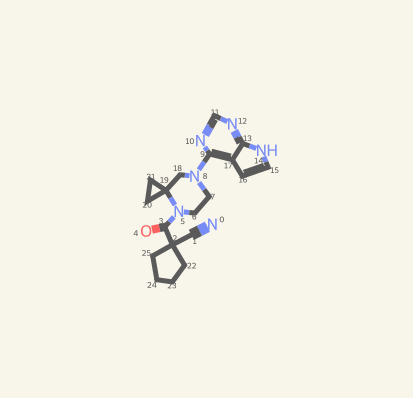 N#CC1(C(=O)N2CCN(c3ncnc4[nH]ccc34)CC23CC3)CCCC1